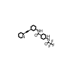 O=C(Nc1cccc(C#Cc2ccccn2)c1)c1ccc(NC(=O)C(F)(F)F)cc1